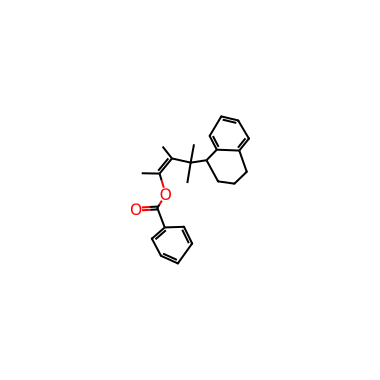 CC(OC(=O)c1ccccc1)=C(C)C(C)(C)C1CCCc2ccccc21